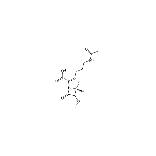 COC1C(=O)N2C(C(=O)O)=C(CCCNC(C)=O)S[C@H]12